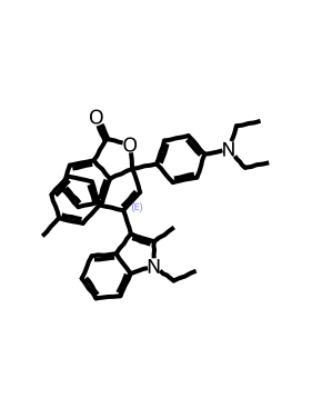 CCN(CC)c1ccc(C2(/C=C(\c3cccc(C)c3)c3c(C)n(CC)c4ccccc34)OC(=O)c3ccccc32)cc1